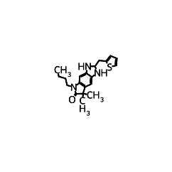 CCCCN1C(=O)C(C)(C)c2cc3c(cc21)NC(Cc1cccs1)N3